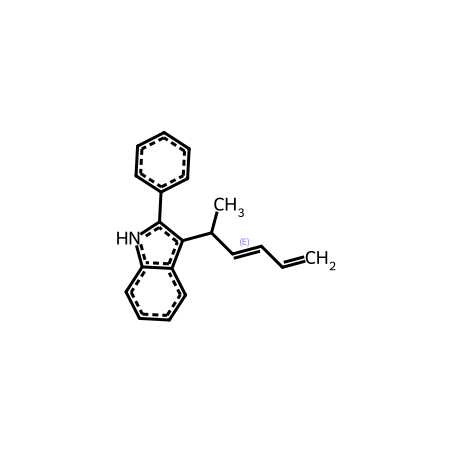 C=C/C=C/C(C)c1c(-c2ccccc2)[nH]c2ccccc12